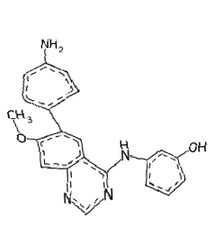 COc1cc2ncnc(Nc3cccc(O)c3)c2cc1-c1ccc(N)cc1